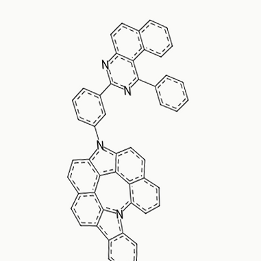 c1ccc(-c2nc(-c3cccc(-n4c5ccc6cccc7c6c5c5c6c(ccc8c9ccccc9n7c86)ccc54)c3)nc3ccc4ccccc4c23)cc1